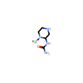 CN1CCNCC1NC(N)=O